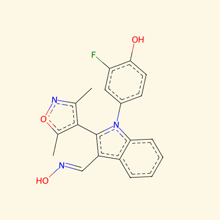 Cc1noc(C)c1-c1c(/C=N/O)c2ccccc2n1-c1ccc(O)c(F)c1